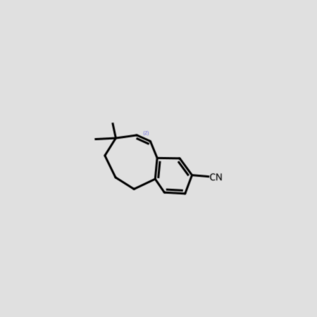 CC1(C)/C=C\c2cc(C#N)ccc2CCC1